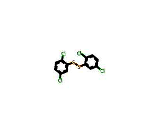 Clc1ccc(Cl)c(SSc2cc(Cl)ccc2Cl)c1